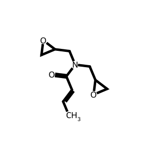 CC=CC(=O)N(CC1CO1)CC1CO1